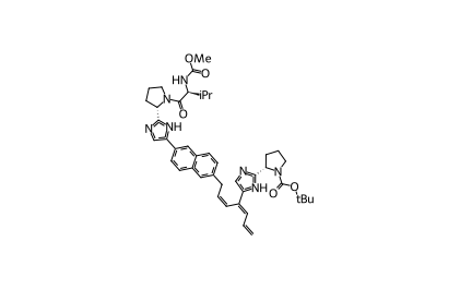 C=C/C=C(\C=C/Cc1ccc2cc(-c3cnc([C@@H]4CCCN4C(=O)[C@@H](NC(=O)OC)C(C)C)[nH]3)ccc2c1)c1cnc([C@@H]2CCCN2C(=O)OC(C)(C)C)[nH]1